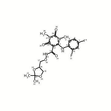 Cn1c(Nc2ccc(I)cc2F)c(C(=O)NOCC2COC(C)(C)O2)c(=O)n(C)c1=O